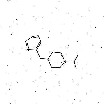 CC(C)N1CCC(Cc2ccccn2)CC1